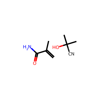 C=C(C)C(N)=O.CC(C)(O)C#N